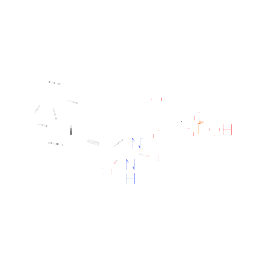 COC1C[C@H](n2cc(C#Cc3ccc4ccc5c6c4c3CC=C6C=CC5)c(=O)[nH]c2=O)O[C@@H]1COP(C)(=O)O